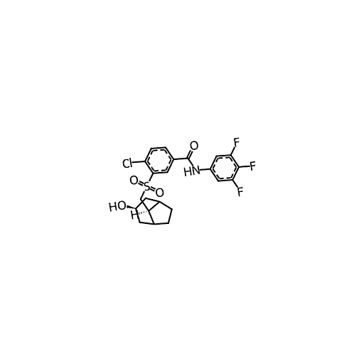 O=C(Nc1cc(F)c(F)c(F)c1)c1ccc(Cl)c(S(=O)(=O)C[C@H]2C3CCC2C[C@@H](O)C3)c1